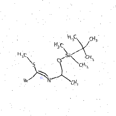 CS/C(Br)=N\C(C)O[Si](C)(C)C(C)(C)C